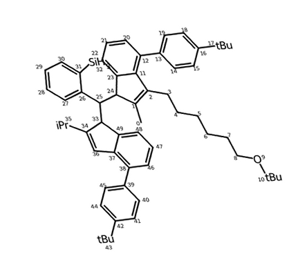 CC1=C(CCCCCCOC(C)(C)C)c2c(-c3ccc(C(C)(C)C)cc3)cccc2C1C(c1ccccc1[SiH3])C1C(C(C)C)=Cc2c(-c3ccc(C(C)(C)C)cc3)cccc21